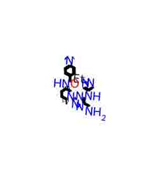 CCn1cc(Nc2nc(N3C[C@H](NC(=O)c4ccc(N(C)C)cc4)CC[C@@H]3C)nnc2CN)cn1